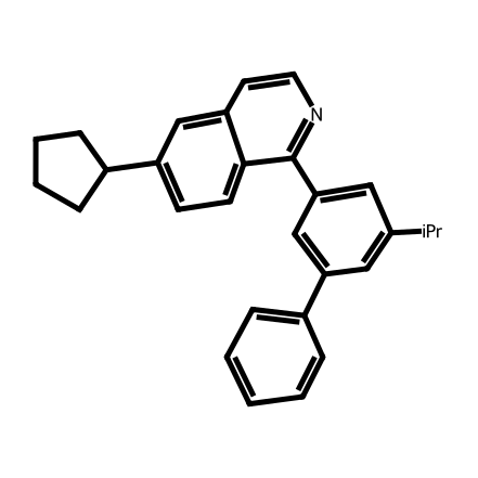 CC(C)c1cc(-c2ccccc2)cc(-c2nccc3cc(C4CCCC4)ccc23)c1